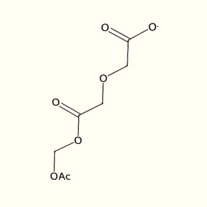 CC(=O)OCOC(=O)COCC([O])=O